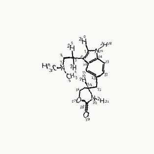 [2H]c1c(C([2H])([2H])CN(C)C)c2cc(C[C@@]3([2H])COC(=O)N3[2H])ccc2n1[2H]